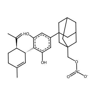 C=C(C)[C@@H]1CCC(C)=C[C@H]1c1c(O)cc(C23CC4CC(CC(CO[N+](=O)[O-])(C4)C2)C3)cc1O